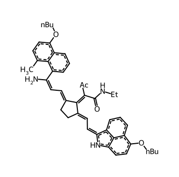 CCCCOc1ccc(C)c2c(\C(N)=C/C=C3\CCC(=C/C=c4/[nH]c5ccc(OCCCC)c6cccc4c56)\C3=C(\C(C)=O)C(=O)NCC)cccc12